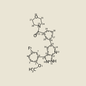 COc1ccc(F)cc1-c1n[nH]c2ncc(-c3cccc(C(=O)N4CCOCC4)c3)cc12